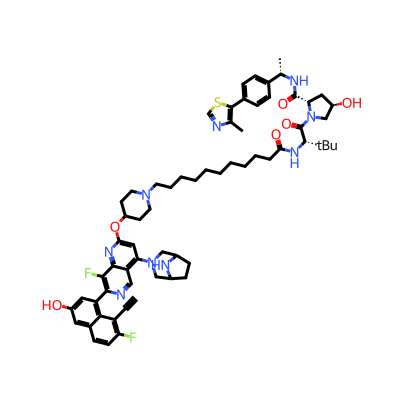 C#Cc1c(F)ccc2cc(O)cc(-c3ncc4c(N5CC6CCC(C5)N6)cc(OC5CCN(CCCCCCCCCCC(=O)N[C@H](C(=O)N6C[C@H](O)C[C@H]6C(=O)N[C@@H](C)c6ccc(-c7scnc7C)cc6)C(C)(C)C)CC5)nc4c3F)c12